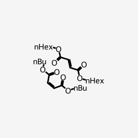 CCCCCCOC(=O)/C=C/C(=O)OCCCCCC.CCCCOC(=O)/C=C\C(=O)OCCCC